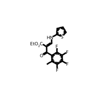 CCOC(=O)C(=CNc1cccs1)C(=O)c1c(C)c(F)c(F)c(F)c1F